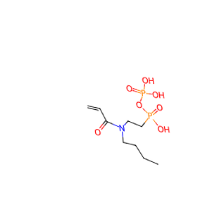 C=CC(=O)N(CCCC)CCP(=O)(O)OP(=O)(O)O